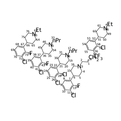 C=CCN1CCC(c2cccc(Cl)c2F)CC1.CCCN1CCC(c2cccc(Cl)c2Cl)CC1.CCCN1CCC(c2cccc(Cl)c2F)CC1.CCN1CCC(c2cccc(C(F)(F)F)c2Cl)CC1.CCN1CCC(c2cccc(Cl)c2F)CC1